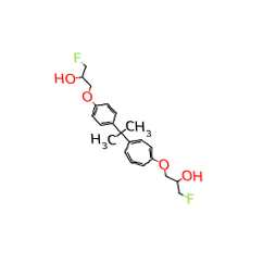 CC(C)(C1=CC=C(OCC(O)CF)C=C=C1)c1ccc(OCC(O)CF)cc1